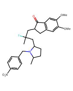 COc1cc2c(cc1OC)C(=O)C(CC(C)(F)CC1CCC(C)N1Cc1ccc([N+](=O)[O-])cc1)C2